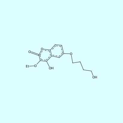 CCOc1c(O)c2cc(OCCCCO)ccc2oc1=O